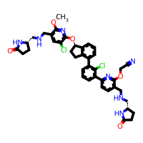 COc1nc(O[C@H]2CCc3c(-c4cccc(-c5ccc(CNC[C@@H]6CCC(=O)N6)c(OCC#N)n5)c4Cl)cccc32)c(Cl)cc1CNC[C@@H]1CCC(=O)N1